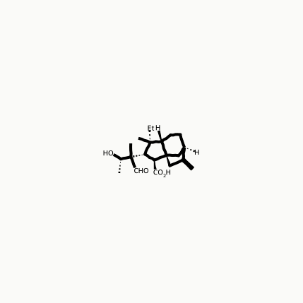 C=C1C[C@]23C[C@H]1CC[C@H]2[C@@](C)(CC)[C@@H](C(C)(C=O)[C@H](C)O)[C@@H]3C(=O)O